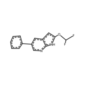 FC(F)Oc1cc2cc(-c3ccccc3)cnc2[nH]1